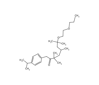 CCCOCCOC(C)(C)CC(C)CC(C)(C)C(=O)Cc1ccc(C(C)C)cc1